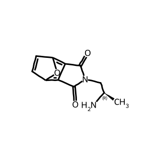 C[C@@H](N)CN1C(=O)c2c(c3ccc2o3)C1=O